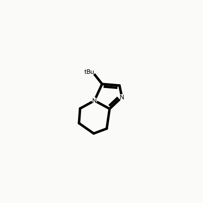 CC(C)(C)c1cnc2n1CCCC2